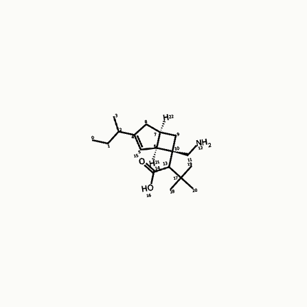 CCC(C)C1=C[C@H]2[C@@H](C1)C[C@]2(CN)C(C(=O)O)C(C)(C)C